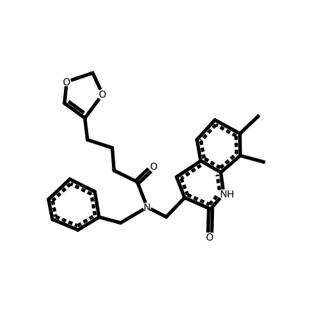 Cc1ccc2cc(CN(Cc3ccccc3)C(=O)CCCC3=COCO3)c(=O)[nH]c2c1C